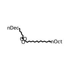 CCCCCCCCC=CCCCCCCCCCCCC(=O)OC(=O)CCCCCCCCCCCCCCC